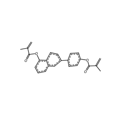 C=C(C)C(=O)Oc1ccc(-c2ccc3c(OC(=O)C(=C)C)cccc3c2)cc1